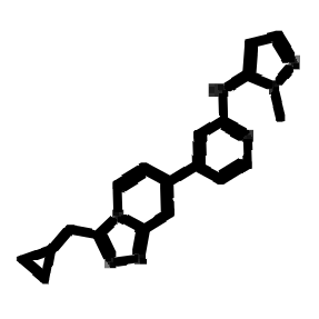 Cn1nccc1Nc1cc(-c2ccn3c(CC4CC4)nnc3c2)ccn1